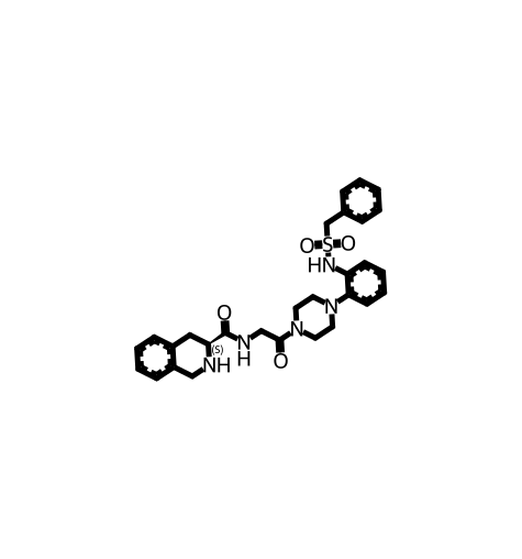 O=C(NCC(=O)N1CCN(c2ccccc2NS(=O)(=O)Cc2ccccc2)CC1)[C@@H]1Cc2ccccc2CN1